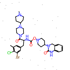 Cc1cc(CC(NC(=O)ON2CCC(N3Cc4ccccc4NC3=O)CC2)C(=O)N2CCN(C3CCN(C)CC3)CC2)cc(Br)c1Cl